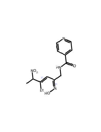 CC/C(=C\C(CNC(=O)c1ccncc1)=N/O)C(C)[N+](=O)[O-]